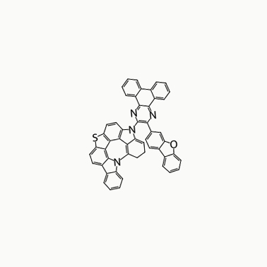 C1=c2c3c(n4c5ccccc5c5ccc6sc7ccc(c3c7c6c54)n2-c2nc3c4ccccc4c4ccccc4c3nc2-c2ccc3c(c2)oc2ccccc23)CC1